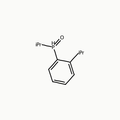 CC(C)c1ccccc1[PH](=O)C(C)C